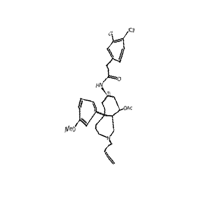 C=CCN1CCC2(c3cccc(OC)c3)C[C@@H](NC(=O)Cc3ccc(Cl)c(Cl)c3)CC(OC(C)=O)C2C1